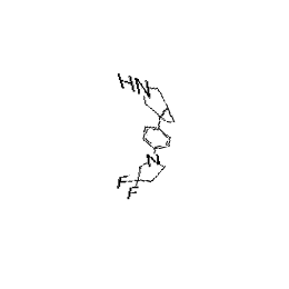 FC1(F)CCN(c2ccc(C34CNCC3C4)cc2)C1